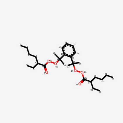 CCCCC(CC)C(=O)OOC(C)(C)c1ccccc1C(C)(C)OOC(=O)C(CC)CCCC